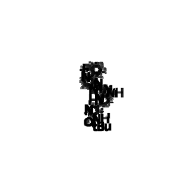 CC(C)(C)C(=O)Nc1cncc(-c2ccc3[nH]nc(-c4nc5c(-c6ccccc6F)nccc5[nH]4)c3n2)c1